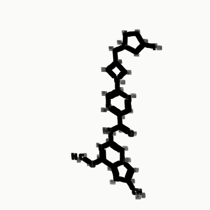 COc1nc(NC(=O)c2cnc(N3CC(CN4CCC(F)C4)C3)cn2)cn2cc(C)nc12